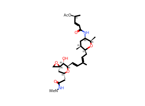 CNNC(=O)C[C@@H]1C[C@@]2(CO2)[C@H](O)[C@@H](C=CC(C)=CC[C@@H]2O[C@H](C)[C@H](NC(=O)C=C[C@H](C)OC(C)=O)C[C@@H]2C)O1